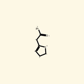 CC(C)C(=O)CC1=CCCS1